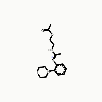 CC(=O)OCCN/C(C)=N/c1ccccc1N1CCOCC1